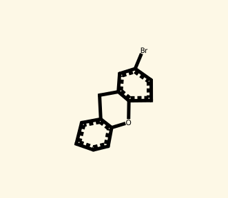 Brc1ccc2c(c1)Cc1ccccc1O2